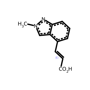 Cn1cc2c(/C=C/C(=O)O)cccc2n1